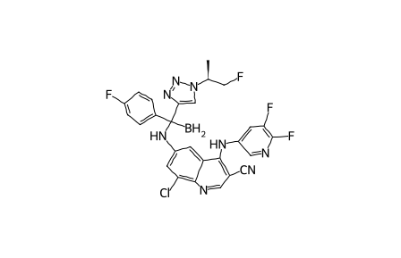 BC(Nc1cc(Cl)c2ncc(C#N)c(Nc3cnc(F)c(F)c3)c2c1)(c1ccc(F)cc1)c1cn([C@@H](C)CF)nn1